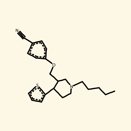 CCCCCN1CCC(c2cccs2)C(COc2ccc(C#N)cc2)C1